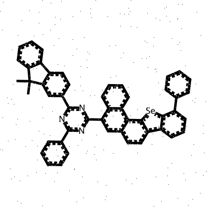 CC1(C)c2ccccc2-c2ccc(-c3nc(-c4ccccc4)nc(-c4cc5ccc6c7cccc(-c8ccccc8)c7[se]c6c5c5ccccc45)n3)cc21